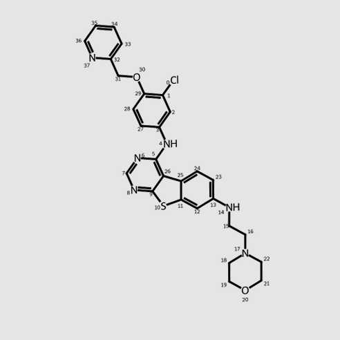 Clc1cc(Nc2ncnc3sc4cc(NCCN5CCOCC5)ccc4c23)ccc1OCc1ccccn1